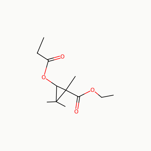 CCOC(=O)C1(C)C(OC(=O)CC)C1(C)C